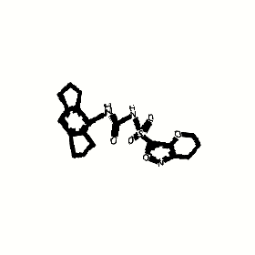 O=C(Nc1c2c(cc3c1CCC3)CCC2)NS(=O)(=O)c1onc2c1OCCC2